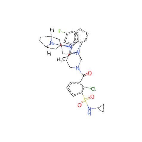 Cc1nc2ccccc2n1[C@H]1C[C@H]2CC[C@@H](C1)N2CCC1(c2cccc(F)c2)CCN(C(=O)c2cccc(S(=O)(=O)NC3CC3)c2Cl)CC1